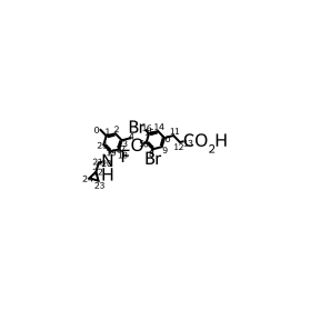 Cc1cc(COc2c(Br)cc(CCC(=O)O)cc2Br)c(F)c(NCC2CC2)c1